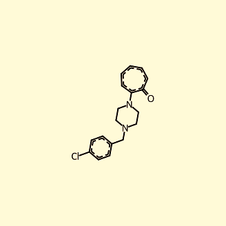 O=c1cccccc1N1CCN(Cc2ccc(Cl)cc2)CC1